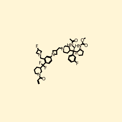 C=CC(=O)N1CCCC(C(F)(F)c2ccc(N3CC(CN4CCC([C@@](CNC(C)=O)(c5cccc(F)c5)[C@H]5CCC[C@@H]5NC(=O)OC)CC4)C3)cc2CN2CC(F)C2)C1